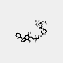 CC(C)(C)OC(=O)N1CCO[C@@H](COCC(F)(F)CCc2c(Cl)cc3c(cnn3C3CCCCO3)c2Br)C1